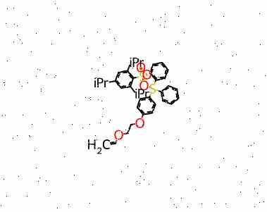 C=COCCOc1ccc(S(OS(=O)(=O)c2c(C(C)C)cc(C(C)C)cc2C(C)C)(c2ccccc2)c2ccccc2)cc1